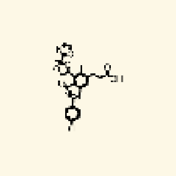 Cc1c(CCC(=O)O)cc(CCc2ccc(Cl)cc2)c(C(N)=O)c1C1COC(C)(c2ncco2)O1